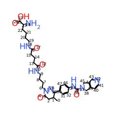 CC1CC(=O)N(CCCCNC(=O)CCCC(=O)NCCCC[C@H](N)C(=O)O)N=C1c1ccc(NC(=O)N2Cc3ccncc3C2)cc1